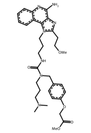 COCCc1nc2c(N)nc3ccccc3c2n1CCCNC(=O)N(CCCN(C)C)Cc1ccc(OCC(=O)OC)cc1